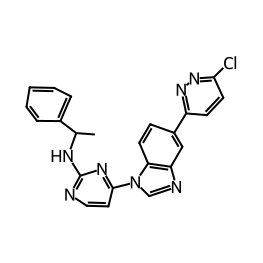 CC(Nc1nccc(-n2cnc3cc(-c4ccc(Cl)nn4)ccc32)n1)c1ccccc1